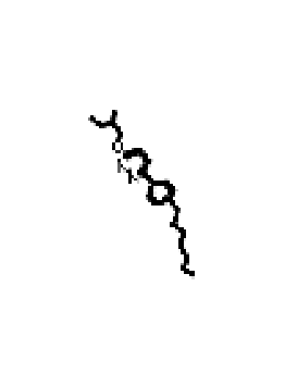 CCCCCCCc1ccc(-c2ccc(OCC(C)CC)nn2)cc1